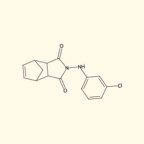 O=C1C2C3C=CC(C3)C2C(=O)N1Nc1cccc(Cl)c1